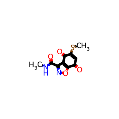 CNC(=O)c1noc2c1C(=O)C(SC)=CC2=O